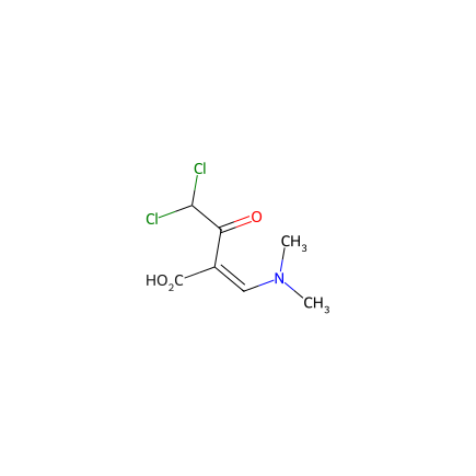 CN(C)C=C(C(=O)O)C(=O)C(Cl)Cl